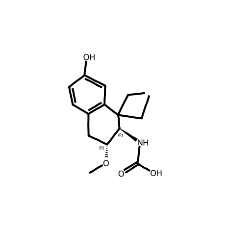 CCC1(CC)c2cc(O)ccc2C[C@@H](OC)[C@@H]1NC(=O)O